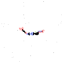 O=C(O)CCCON=C1CN(c2ncc(-c3cccc(CONC(=O)O)c3F)cn2)C1